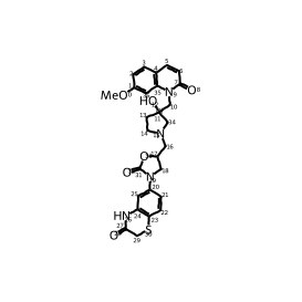 COc1ccc2ccc(=O)n(C[C@@]3(O)CCN(CC4CN(c5ccc6c(c5)NC(=O)CS6)C(=O)O4)C3)c2c1